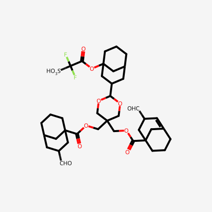 O=CC1C=C2CCCC(C(=O)OCC3(COC(=O)C45CCCC(CC(C=O)C4)C5)COC(C4CC5CCCC(OC(=O)C(F)(F)S(=O)(=O)O)(C5)C4)OC3)(C2)C1